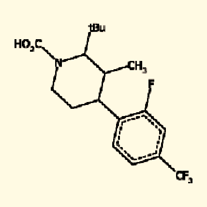 CC1C(c2ccc(C(F)(F)F)cc2F)CCN(C(=O)O)C1C(C)(C)C